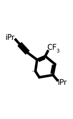 CC(C)C#CC1=C(C(F)(F)F)C=C(C(C)C)C[CH]1